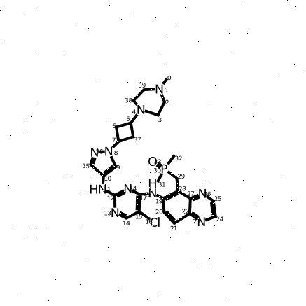 CN1CCN(C2CC(n3cc(Nc4ncc(Cl)c(Nc5ccc6nccnc6c5CP(C)(C)=O)n4)cn3)C2)CC1